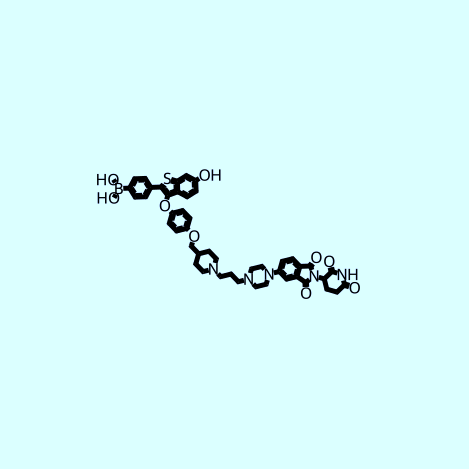 O=C1CCC(N2C(=O)c3ccc(N4CCN(CCCN5CCC(COc6ccc(Oc7c(-c8ccc(B(O)O)cc8)sc8cc(O)ccc78)cc6)CC5)CC4)cc3C2=O)C(=O)N1